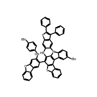 CC(C)(C)c1ccc(Nc2cc3oc4ccccc4c3cc2-c2c3c4c(c5cc(C(C)(C)C)ccc5n4-c4cc5c(-c6ccccc6)c(-c6ccccc6)sc5cc4B3)c3c2sc2ccccc23)cc1